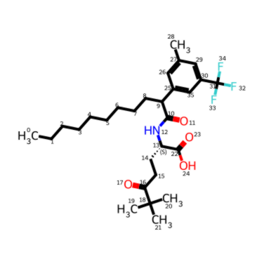 CCCCCCCCCC(C(=O)N[C@@H](CCC(=O)C(C)(C)C)C(=O)O)c1cc(C)cc(C(F)(F)F)c1